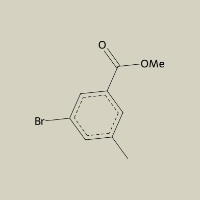 COC(=O)c1cc(C)cc(Br)c1